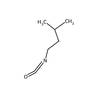 CC(C)[CH]CN=C=O